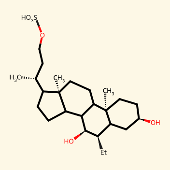 CC[C@@H]1C2C[C@H](O)CC[C@]2(C)C2CC[C@@]3(C)C(CCC3[C@H](C)CCOS(=O)(=O)O)C2[C@@H]1O